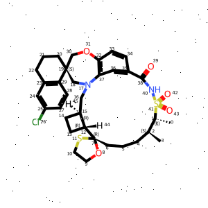 C[C@@H]1[C@@H](C)CCC[C@]2(OCCS2)[C@@H]2CC[C@H]2CN2C[C@@]3(CCCc4cc(Cl)ccc43)COc3ccc(cc32)C(=O)NS1(=O)=O